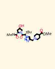 CNC(=O)[C@@H]1C[C@@H](O)CN1C(=O)[C@@H](n1cc(CN2CCC(C(=O)OC)CC2)nn1)C(C)(C)C